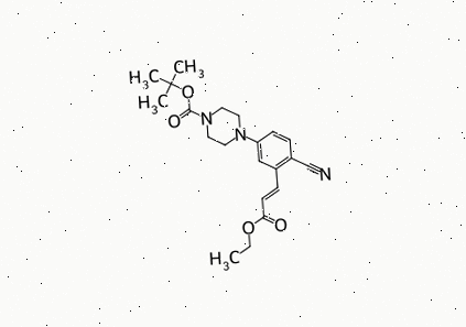 CCOC(=O)C=Cc1cc(N2CCN(C(=O)OC(C)(C)C)CC2)ccc1C#N